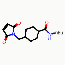 CCCCNC(=O)C1CCC(CN2C(=O)C=CC2=O)CC1